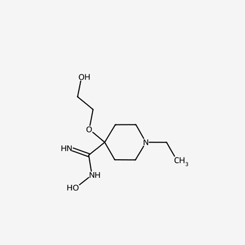 CCN1CCC(OCCO)(C(=N)NO)CC1